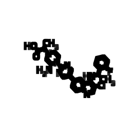 CC(C(=O)O)N1CCN(c2ncc(-c3ccc4ncc(Cl)c(N[C@H](C)c5ccccc5F)c4c3)cn2)[C@H](N)C1